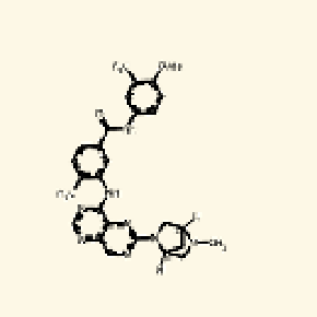 COc1ccc(NC(=O)c2ccc(C)c(Nc3ncnc4cnc(N5C[C@H]6C[C@@H]5CN6C)nc34)c2)cc1C(F)(F)F